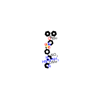 COc1ncccc1Nc1nc(N)c([N+](=O)[O-])c([C@H]2CC[C@H](CS(=O)(=O)N3CCCC(O[Si](c4ccccc4)(c4ccccc4)C(C)(C)C)C3)CC2)n1